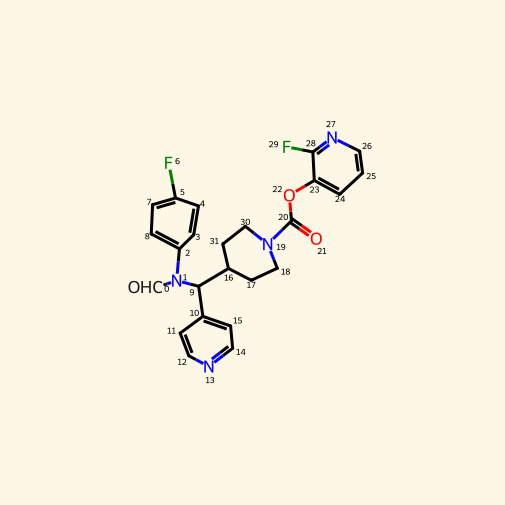 O=CN(c1ccc(F)cc1)C(c1ccncc1)C1CCN(C(=O)Oc2cccnc2F)CC1